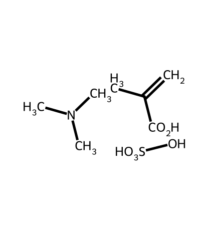 C=C(C)C(=O)O.CN(C)C.O=S(=O)(O)O